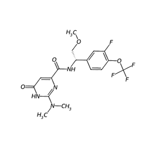 COC[C@@H](NC(=O)c1cc(=O)[nH]c(N(C)C)n1)c1ccc(OC(F)(F)F)c(F)c1